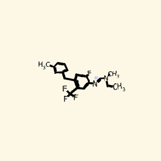 CCN(C)/C=N/c1cc(C(F)(F)F)c(Cc2cccc(C)c2)cc1F